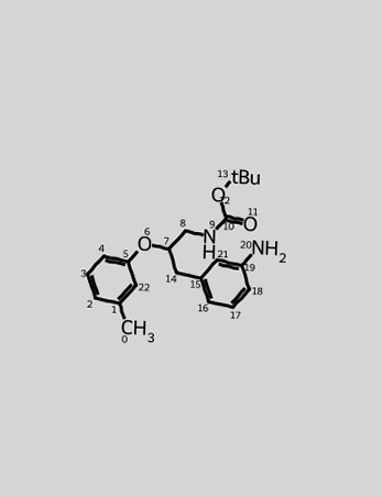 Cc1cccc(OC(CNC(=O)OC(C)(C)C)Cc2cccc(N)c2)c1